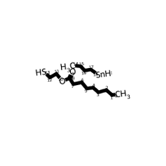 CCCCCCCCC(=O)OCCS.CCC[CH2][SnH]